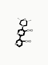 C[C@@H]1CN(c2cnc(-c3cnccc3C=O)cc2C=O)C[C@H](C)O1